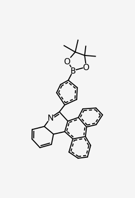 CC1(C)OB(c2ccc(C3=NC4C=CC=CC4c4c3c3ccccc3c3ccccc43)cc2)OC1(C)C